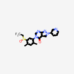 Cc1cc(C)c([S+]([O-])CC(F)(F)F)cc1-n1cnc2nn(-c3cccnc3)cc2c1=O